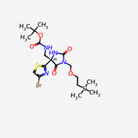 CC(C)(C)OC(=O)NC[C@@]1(c2nc(Br)cs2)NC(=O)N(COCC[Si](C)(C)C)C1=O